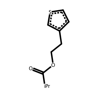 CC(C)C(=O)OCCc1ccsc1